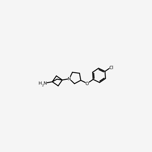 NC12CC(N3CCC(Oc4ccc(Cl)cc4)C3)(C1)C2